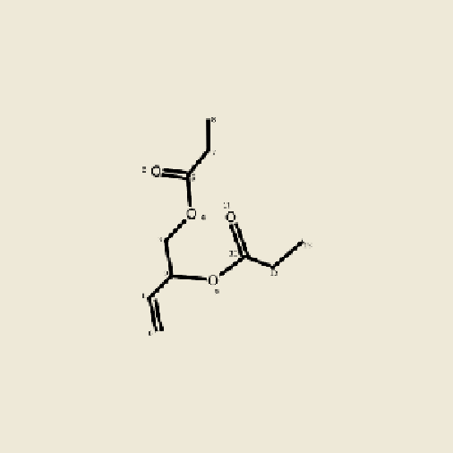 C=CC(COC(=O)CC)OC(=O)CC